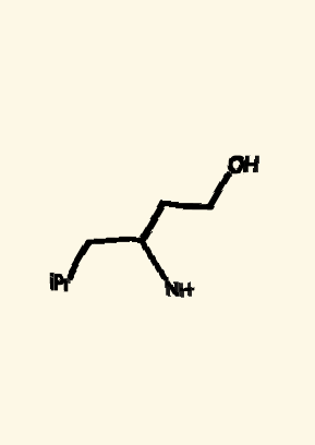 CC(C)CC([NH])CCO